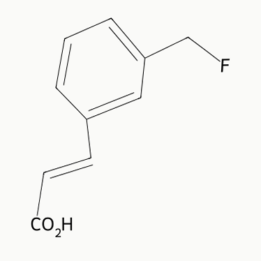 O=C(O)C=Cc1cccc(CF)c1